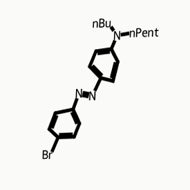 CCCCCN(CCCC)c1ccc(N=Nc2ccc(Br)cc2)cc1